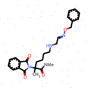 CNC(=O)C(C)(CCCCNCC=NOCc1ccccc1)N1C(=O)c2ccccc2C1=O